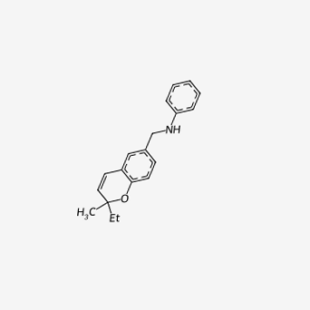 CCC1(C)C=Cc2cc(CNc3ccccc3)ccc2O1